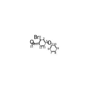 Brc1cc(Oc2ccccc2)ccc1C1CO1